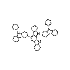 c1ccc(-n2c3ccccc3c3cc(-c4cc5c6ccccc6oc5c5c4c4ccccc4n5-c4ccc5c6ccccc6n(-c6ccccc6)c5c4)ccc32)cc1